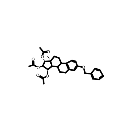 CC(=O)O[C@@H]1[C@H](OC(C)=O)C2C3CCc4cc(OCc5ccccc5)ccc4C3CC[C@]2(C)[C@H]1OC(C)=O